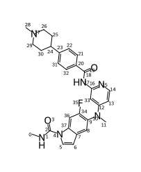 CNC(=O)n1ccc2cc(N(C)c3ccnc(NC(=O)c4ccc(C5CCN(C)CC5)cc4)c3)c(F)cc21